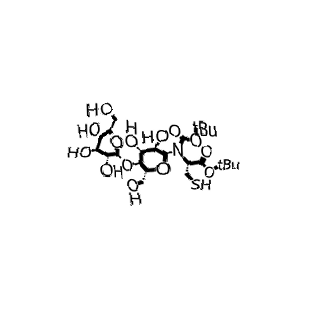 CC(C)(C)OC(=O)[C@H](CS)N(C(=O)OC(C)(C)C)[C@@H]1O[C@H](CO)[C@@H](O[C@H]2O[C@H](CO)[C@@H](O)[C@H](O)[C@H]2O)[C@H](O)[C@H]1O